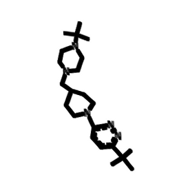 CC(C)(C)c1ccc(N2CCC(CN3CCN(C(C)(C)C)CC3)CC2)nn1